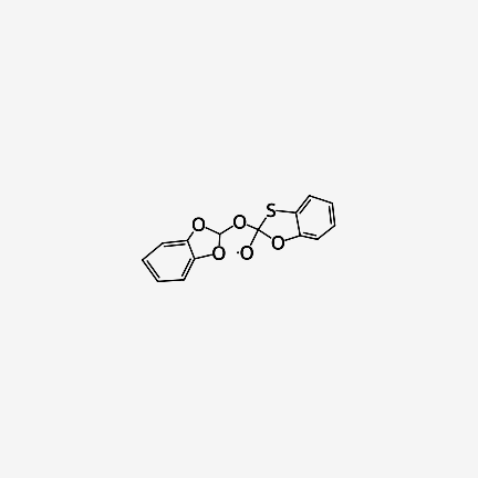 [O]C1(OC2Oc3ccccc3O2)Oc2ccccc2S1